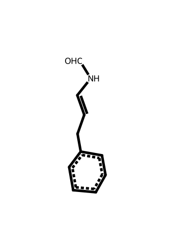 O=CNC=CCc1ccccc1